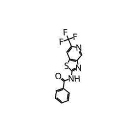 O=C(Nc1nc2cnc(C(F)(F)F)cc2s1)c1ccccc1